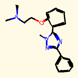 CN(C)CCOc1ccccc1-c1nc(-c2ccccc2)nn1C